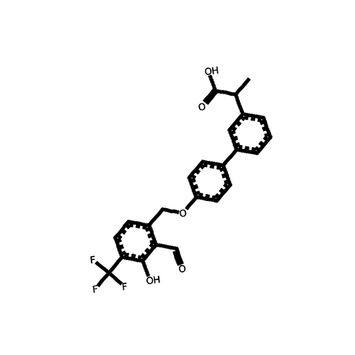 CC(C(=O)O)c1cccc(-c2ccc(OCc3ccc(C(F)(F)F)c(O)c3C=O)cc2)c1